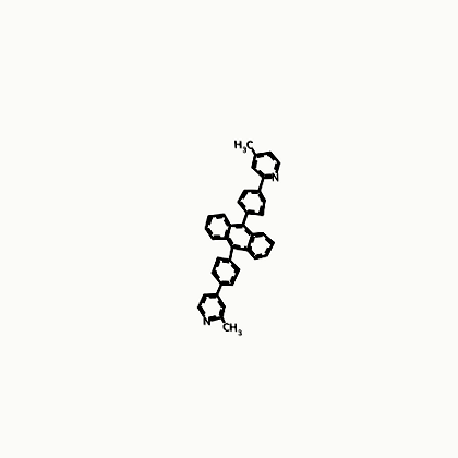 Cc1ccnc(-c2ccc(-c3c4ccccc4c(-c4ccc(-c5ccnc(C)c5)cc4)c4ccccc34)cc2)c1